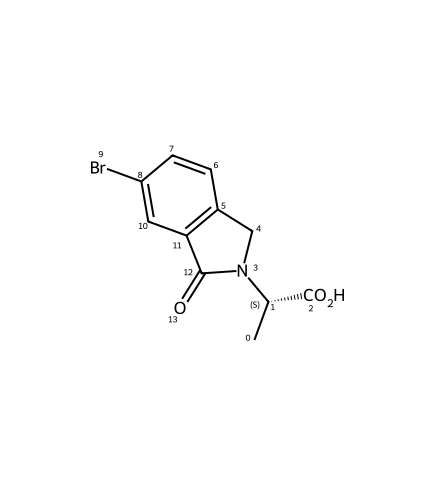 C[C@@H](C(=O)O)N1Cc2ccc(Br)cc2C1=O